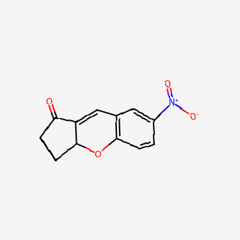 O=C1CCC2Oc3ccc([N+](=O)[O-])cc3C=C12